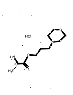 C[C@H](N)C(=O)OCCCN1CCOCC1.Cl